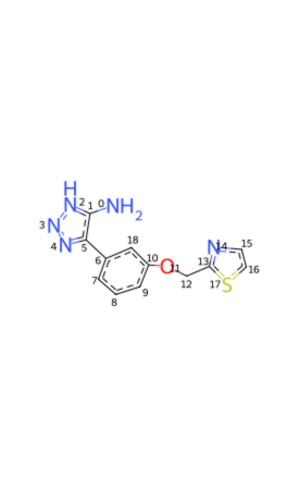 Nc1[nH]nnc1-c1cccc(OCc2nccs2)c1